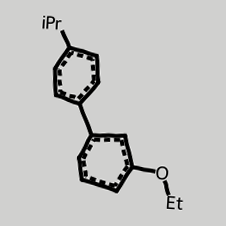 CCOc1cccc(-c2ccc(C(C)C)cc2)c1